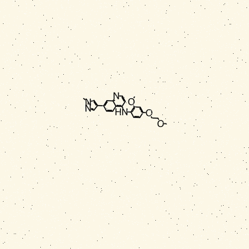 COCCOc1ccc(Nc2ccnc3cc(-c4cnn(C)c4)ccc23)c(OC)c1